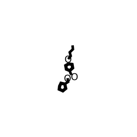 CCCCOc1ccc(C(=O)OCc2ccccc2)cc1